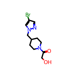 O=C(CO)N1CCC(Cn2cc(Br)cn2)CC1